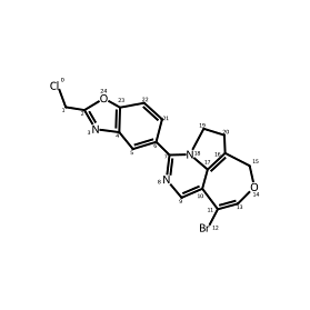 ClCc1nc2cc(C3=NC=C4C(Br)=COCC5=C4N3CC5)ccc2o1